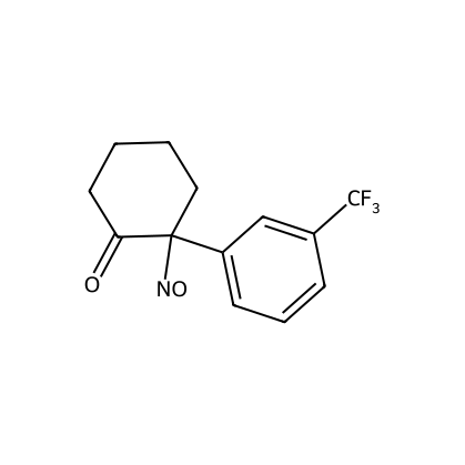 O=NC1(c2cccc(C(F)(F)F)c2)CCCCC1=O